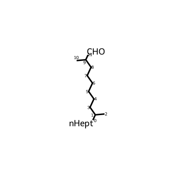 CCCCCCCC(C)CCCCCCC(C)C=O